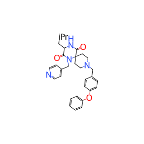 CC(C)CC1NC(=O)C2(CCN(Cc3ccc(Oc4ccccc4)cc3)CC2)N(Cc2ccncc2)C1=O